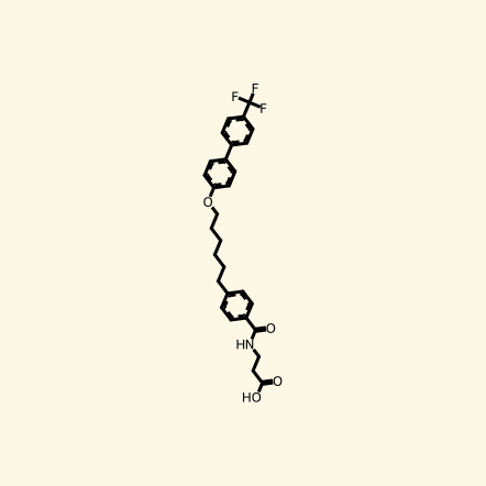 O=C(O)CCNC(=O)c1ccc(CCCCCCOc2ccc(-c3ccc(C(F)(F)F)cc3)cc2)cc1